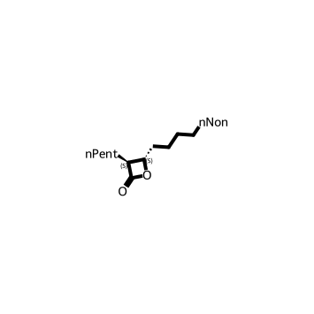 CCCCCCCCCCCCC[C@@H]1OC(=O)[C@H]1CCCCC